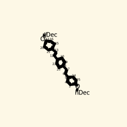 CCCCCCCCCCOc1ccc(C=Cc2ccc(C=Cc3ccc(OCCCCCCCCCC)cc3)cc2)cc1